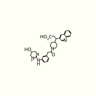 CN1CC(O)CN=C1Nc1cccc(CC(=O)N2CCC(C(CC(=O)O)c3cnc4ccccc4c3)CC2)c1